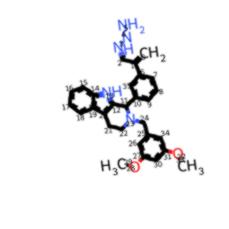 C=C(/C=N\NN)c1cccc(C2c3[nH]c4ccccc4c3CCN2Cc2cc(OC)cc(OC)c2)c1